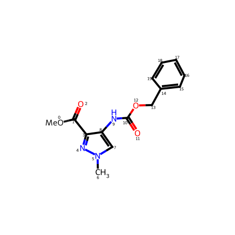 COC(=O)c1nn(C)cc1NC(=O)OCc1ccccc1